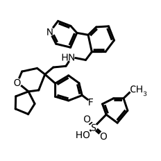 Cc1ccc(S(=O)(=O)O)cc1.Fc1ccc(C2(CCNCc3ccccc3-c3ccncc3)CCOC3(CCCC3)C2)cc1